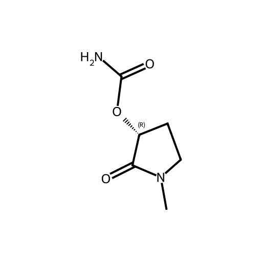 CN1CC[C@@H](OC(N)=O)C1=O